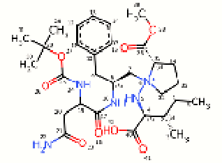 CC[C@H](C)[C@H](N[N+]1(C[C@H](Cc2ccccc2)NC(=O)C(CC(N)=O)NC(=O)OC(C)(C)C)CCC[C@H]1C(=O)OC)C(=O)O